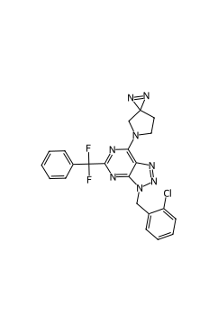 FC(F)(c1ccccc1)c1nc(N2CCC3(C2)N=N3)c2nnn(Cc3ccccc3Cl)c2n1